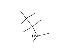 C[SiH](C)C(C)(C)C(C)(C)C